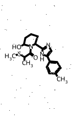 CSC(C)C(=O)N1C(O)CCCC1c1ncc(-c2ccc(C)cc2)[nH]1